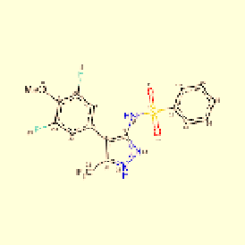 COc1c(F)cc(-c2c(NS(=O)(=O)c3ccccc3)n[nH]c2C(F)(F)F)cc1F